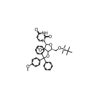 COc1ccc(C(OC2C(OC)[C@@H](n3ccc(=O)[nH]c3=O)O[C@H]2CO[Si](C)(C)C(C)(C)C)(c2ccccc2)c2ccccc2)cc1